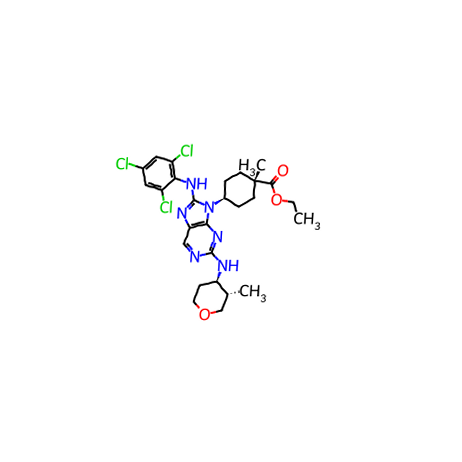 CCOC(=O)[C@]1(C)CC[C@@H](n2c(Nc3c(Cl)cc(Cl)cc3Cl)nc3cnc(N[C@@H]4CCOC[C@H]4C)nc32)CC1